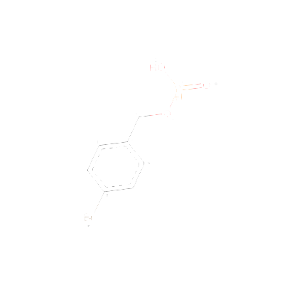 O=[PH](O)OCc1ccc(Br)cc1